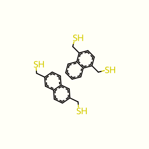 SCc1ccc(CS)c2ccccc12.SCc1ccc2cc(CS)ccc2c1